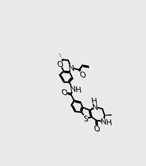 C=CC(=O)N1C[C@@H](C)Oc2ccc(NC(=O)c3ccc4sc5c(c4c3)NC[C@@H](C)NC5=O)cc21